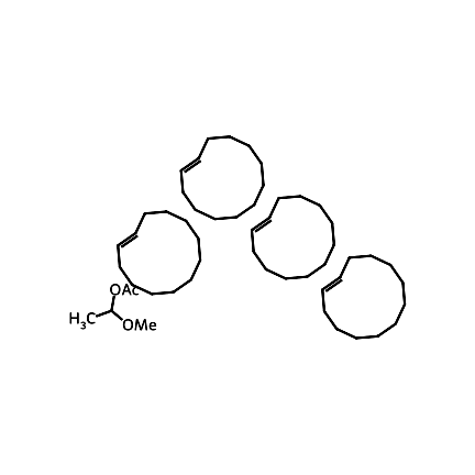 C1=C/CCCCCCCCCC/1.C1=C/CCCCCCCCCC/1.C1=C/CCCCCCCCCC/1.C1=C/CCCCCCCCCC/1.COC(C)OC(C)=O